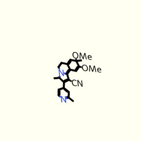 COC1=CC2=C3C(C#N)=C(c4ccnc(C)c4)C(C)N3CCC2=CC1(C)OC